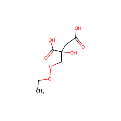 CCOOCC(O)(CC(=O)O)C(=O)O